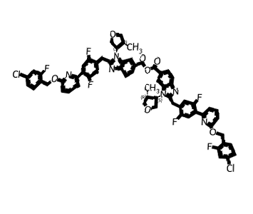 C[C@H]1COC[C@H]1n1c(Cc2cc(F)c(-c3cccc(OCc4ccc(Cl)cc4F)n3)cc2F)nc2ccc(C(=O)OC(=O)c3ccc4nc(Cc5cc(F)c(-c6cccc(OCc7ccc(Cl)cc7F)n6)cc5F)n([C@@H]5COC[C@@H]5C)c4c3)cc21